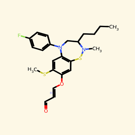 CCCCC1CN(c2ccc(F)cc2)c2cc(SC)c(O/C=C/C=O)cc2SN1C